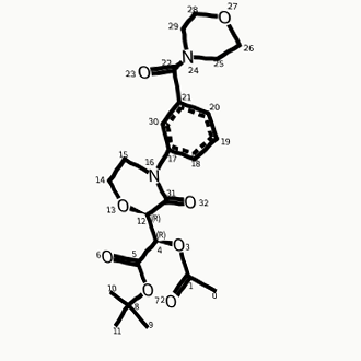 CC(=O)O[C@@H](C(=O)OC(C)(C)C)[C@H]1OCCN(c2cccc(C(=O)N3CCOCC3)c2)C1=O